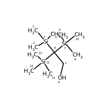 C[Si](C)(C)C(CO)([Si](C)(C)C)[Si](C)(C)C